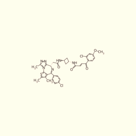 COc1ccc(C(=O)/C=C/C(=O)N[C@H]2C[C@H](NC(=O)C[C@@H]3N=C(c4ccc(Cl)cc4)c4c(sc(C)c4C)-n4c(C)nnc43)C2)c(Cl)c1